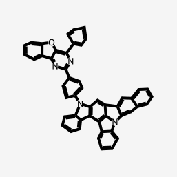 c1ccc(-c2nc(-c3ccc(-n4c5ccccc5c5c6c7ccccc7n7c8cc9ccccc9cc8c(cc54)c67)cc3)nc3c2oc2ccccc23)cc1